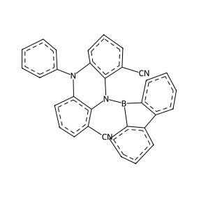 N#Cc1cccc2c1N(B1c3ccccc3-c3ccccc31)c1c(C#N)cccc1N2c1ccccc1